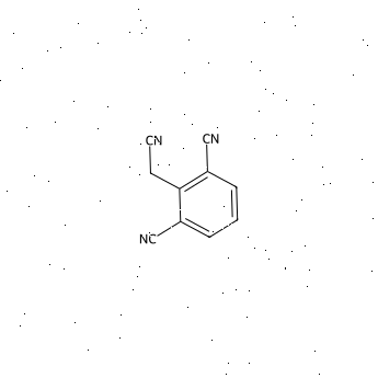 N#CCc1c(C#N)cccc1C#N